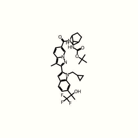 Cc1c(-c2cc3ccc(C(C)(O)C(F)(F)F)cc3n2CC2CC2)nn2cc(C(=O)N3CC4CCC3[C@@H]4NC(=O)OC(C)(C)C)ccc12